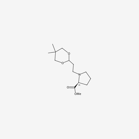 COC(=O)[C@@H]1CCCN1CCC1OCC(C)(C)CO1